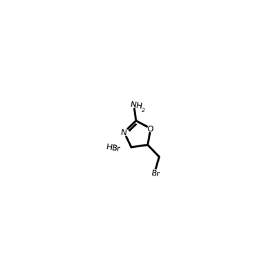 Br.NC1=NCC(CBr)O1